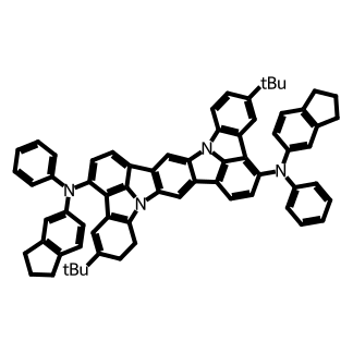 CC(C)(C)C1=Cc2c(n3c4cc5c6ccc(N(c7ccccc7)c7ccc8c(c7)CCC8)c7c8cc(C(C)(C)C)ccc8n(c5cc4c4ccc(N(c5ccccc5)c5ccc8c(c5)CCC8)c2c43)c67)CC1